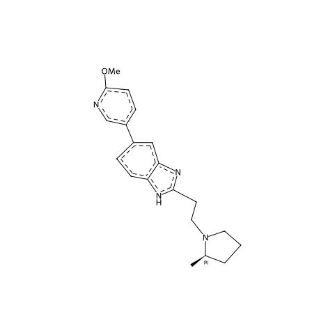 COc1ccc(-c2ccc3[nH]c(CCN4CCC[C@H]4C)nc3c2)cn1